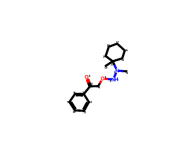 CN(NOCC(=O)c1ccccc1)C1(C)CCCCC1